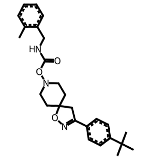 Cc1ccccc1CNC(=O)ON1CCC2(CC1)CC(c1ccc(C(C)(C)C)cc1)=NO2